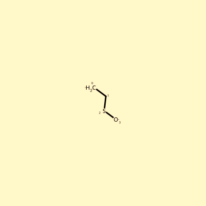 [CH2]CS[O]